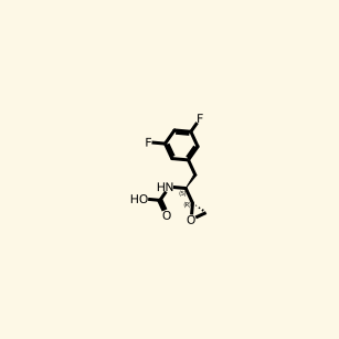 O=C(O)N[C@@H](Cc1cc(F)cc(F)c1)[C@@H]1CO1